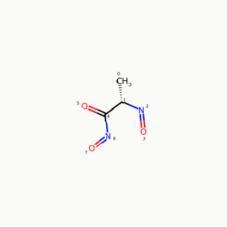 C[C@H](N=O)C(=O)N=O